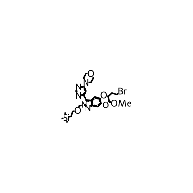 COC(=O)C(CCBr)Oc1ccc2nn(COCC[Si](C)(C)C)c(-c3cc(N4CCOCC4)ncn3)c2c1